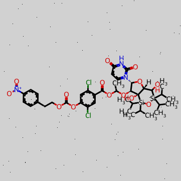 CC(OC(=O)c1cc(Cl)c(OC(=O)OCCc2ccc([N+](=O)[O-])cc2)cc1Cl)O[C@H]1[C@H](n2ccc(=O)[nH]c2=O)O[C@@H]2C(O)[Si](C(C)C)(C(C)C)O[Si](C(C)C)(C(C)C)[C@@]21O